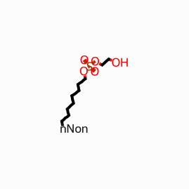 CCCCCCCCCCCCCCCCCOS(=O)(=O)OCCO